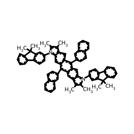 Cc1c(C)n(-c2ccc3c(c2)C(C)(C)c2ccccc2-3)c2cc3c(-c4ccc5ccccc5c4)c4cc5c(C)c(C)n(-c6ccc7c(c6)C(C)(C)c6ccccc6-7)c5cc4c(-c4ccc5ccccc5c4)c3cc12